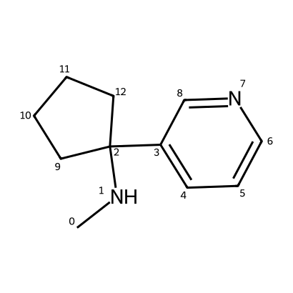 CNC1(c2cccnc2)CCCC1